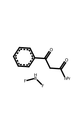 CCCC(=O)CC(=O)c1ccccc1.FBF